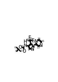 CC(C)(C)OC(=O)Nc1cnn(-c2cnccn2)c1C(F)(F)F